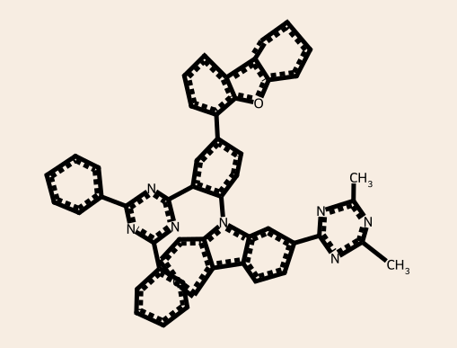 Cc1nc(C)nc(-c2ccc3c4ccccc4n(-c4ccc(-c5cccc6c5oc5ccccc56)cc4-c4nc(-c5ccccc5)nc(-c5ccccc5)n4)c3c2)n1